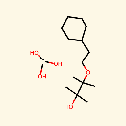 CC(C)(O)C(C)(C)OCCC1CCCCC1.OB(O)O